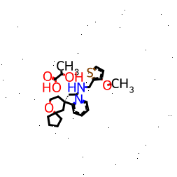 CC(O)C(=O)O.COc1ccsc1CNCC[C@@]1(c2ccccn2)CCOC2(CCCC2)C1